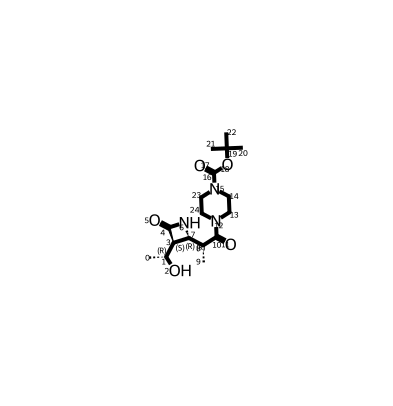 C[C@@H](O)[C@H]1C(=O)N[C@@H]1[C@@H](C)C(=O)N1CCN(C(=O)OC(C)(C)C)CC1